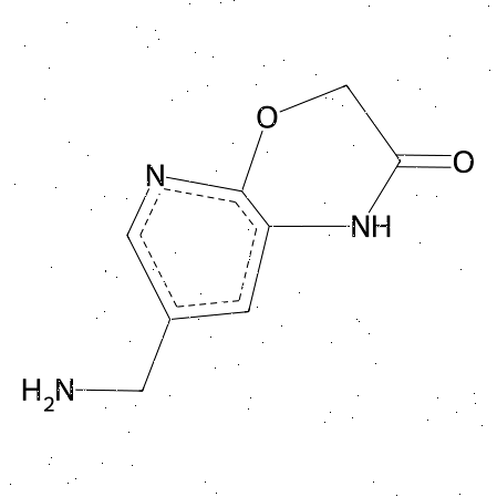 NCc1cnc2c(c1)NC(=O)CO2